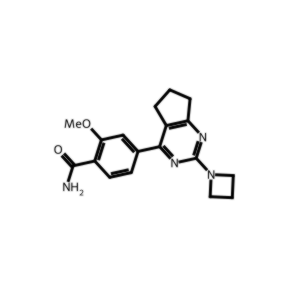 COc1cc(-c2nc(N3CCC3)nc3c2CCC3)ccc1C(N)=O